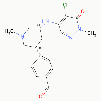 CN1C[C@H](Nc2cnn(C)c(=O)c2Cl)C[C@H](c2ccc(C=O)cc2)C1